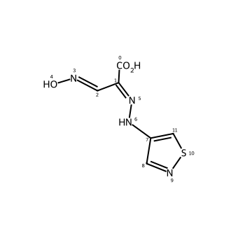 O=C(O)C(/C=N/O)=N/Nc1cnsc1